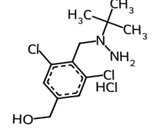 CC(C)(C)N(N)Cc1c(Cl)cc(CO)cc1Cl.Cl